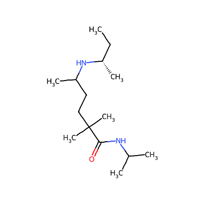 CC[C@H](C)NC(C)CCC(C)(C)C(=O)NC(C)C